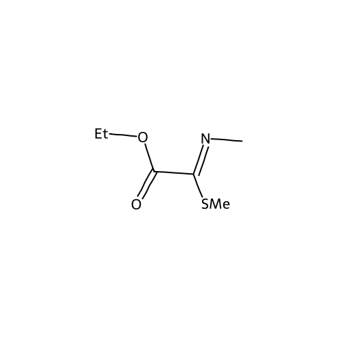 CCOC(=O)C(=NC)SC